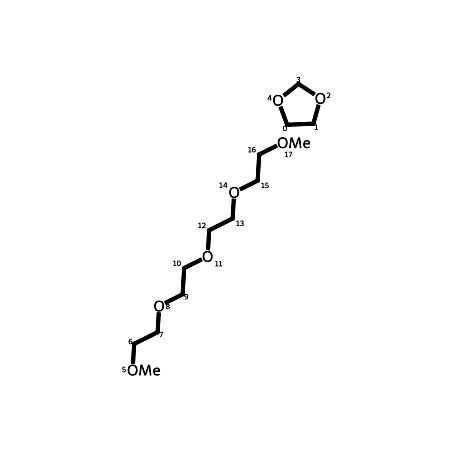 C1COCO1.COCCOCCOCCOCCOC